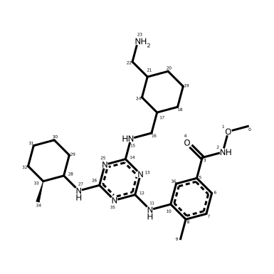 CONC(=O)c1ccc(C)c(Nc2nc(NCC3CCCC(CN)C3)nc(NC3CCCC[C@@H]3C)n2)c1